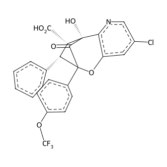 O=C(O)[C@H]1[C@@H](c2ccccc2)C2(c3ccc(OC(F)(F)F)cc3)Oc3cc(Cl)cnc3[C@@]1(O)C2=O